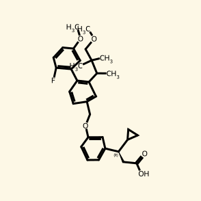 COCC(C)(C)C(C)c1cc(COc2cccc([C@H](CC(=O)O)C3CC3)c2)ccc1-c1cc(OC)ccc1F